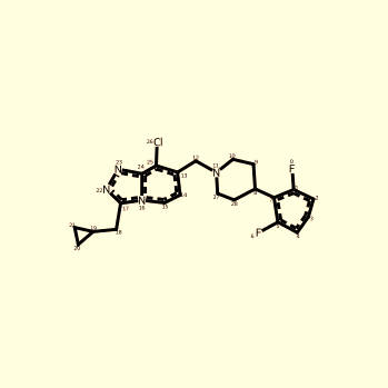 Fc1cccc(F)c1C1CCN(Cc2ccn3c(CC4CC4)nnc3c2Cl)CC1